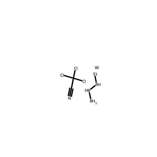 BBBCC.N#CC(Cl)(Cl)Cl.[W]